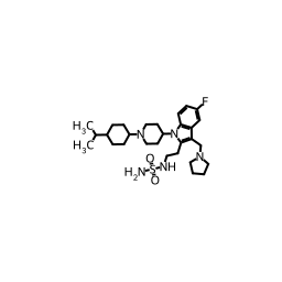 CC(C)C1CCC(N2CCC(n3c(CCNS(N)(=O)=O)c(CN4CCCC4)c4cc(F)ccc43)CC2)CC1